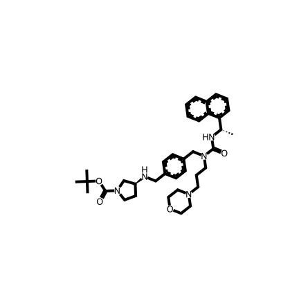 C[C@H](NC(=O)N(CCCN1CCOCC1)Cc1ccc(CN[C@H]2CCN(C(=O)OC(C)(C)C)C2)cc1)c1cccc2ccccc12